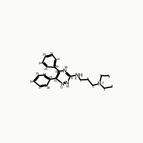 CCN(CC)CCCNc1nnc(-c2ccccc2)c(-c2ccccc2)n1